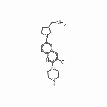 NCC1CCN(c2ccc3nc(N4CCNCC4)c(Cl)cc3c2)C1